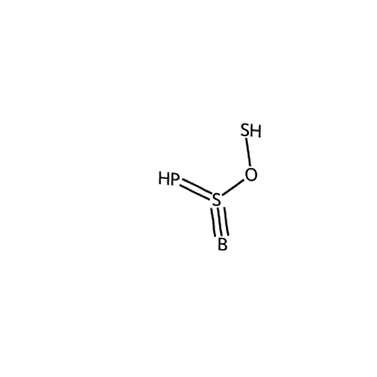 B#S(=P)OS